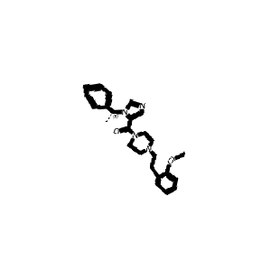 COc1ccccc1CCN1CCN(C(=O)c2cncn2[C@H](C)c2ccccc2)CC1